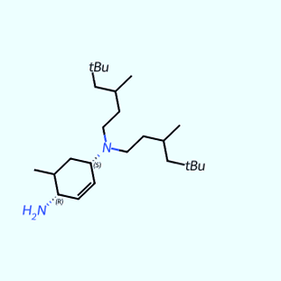 CC(CCN(CCC(C)CC(C)(C)C)[C@@H]1C=C[C@H](N)C(C)C1)CC(C)(C)C